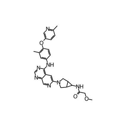 COCC(=O)NC1C2CN(c3cc4c(Nc5ccc(Oc6ccc(C)nc6)c(C)c5)ncnc4cn3)CC21